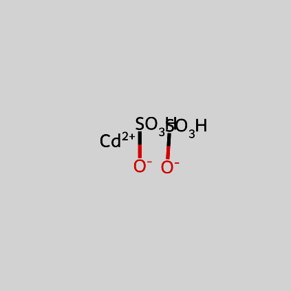 O=S(=O)([O-])O.O=S(=O)([O-])O.[Cd+2]